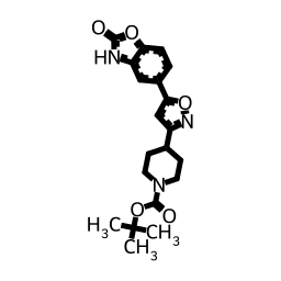 CC(C)(C)OC(=O)N1CCC(c2cc(-c3ccc4oc(=O)[nH]c4c3)on2)CC1